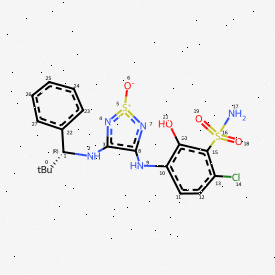 CC(C)(C)[C@@H](Nc1n[s+]([O-])nc1Nc1ccc(Cl)c(S(N)(=O)=O)c1O)c1ccccc1